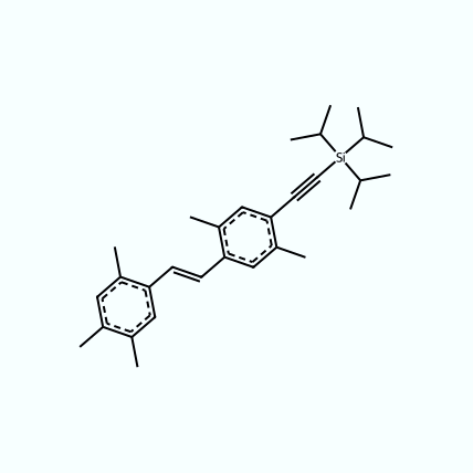 Cc1cc(C)c(/C=C/c2cc(C)c(C#C[Si](C(C)C)(C(C)C)C(C)C)cc2C)cc1C